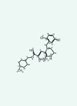 CN1CCC(COC(=N)/C(N)=C/C2=C(N)NCCN2Cc2cc(Cl)ccc2Cl)CC1